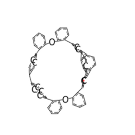 c1ccc2c(c1)Oc1ccccc1-c1cc3ccc4cc(cc5ccc(c1)c3c45)-c1ccccc1Oc1ccccc1-c1ccc(cc1)-c1ccc-2cc1